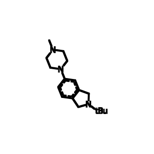 CN1CCN(c2ccc3c(c2)CN(C(C)(C)C)C3)CC1